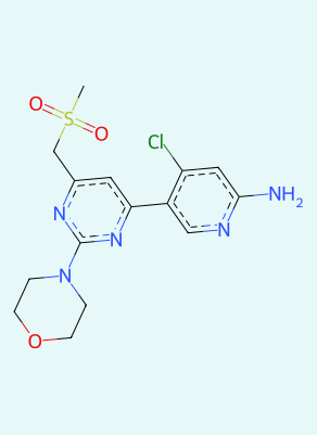 CS(=O)(=O)Cc1cc(-c2cnc(N)cc2Cl)nc(N2CCOCC2)n1